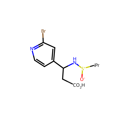 CC(C)[S+]([O-])NC(CC(=O)O)c1ccnc(Br)c1